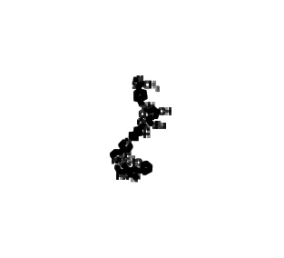 Cc1ncsc1-c1ccc(CNC(=O)[C@@H]2C[C@@H](O)CN2C(=O)C(NC(=O)C2CC3(C2)CC(N2CCC(c4ccnc(N5CCc6[nH]c7nnc(-c8ccccc8O)cc7c6[C@@H]5C)n4)CC2)C3)C(C)(C)C)cc1